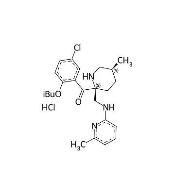 Cc1cccc(NC[C@]2(C(=O)c3cc(Cl)ccc3OCC(C)C)CC[C@H](C)CN2)n1.Cl